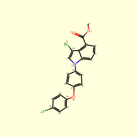 COC(=O)c1cccc2c1c(Br)cn2-c1ccc(Oc2ccc(F)cc2)cc1